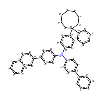 c1ccc(-c2ccc(N(c3ccc(-c4ccc5ccccc5c4)cc3)c3ccc(C4(c5ccccc5)CCCCCCC4)cc3)cc2)cc1